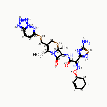 Nc1nc(/C(=N/OC2C=CCCC2)C(=O)NC2C(=O)N3C(C(=O)O)=C(CSc4ccc5nnnn5n4)CS[C@H]23)ns1